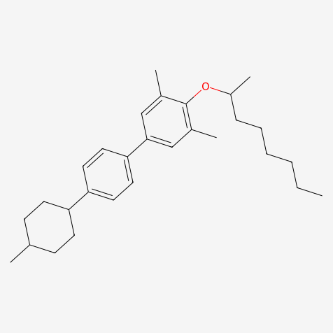 CCCCCCC(C)Oc1c(C)cc(-c2ccc(C3CCC(C)CC3)cc2)cc1C